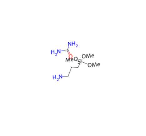 CO[Si](CCCN)(OC)OC.NC(N)=O